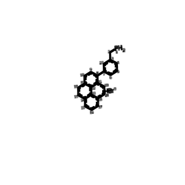 Br.PCc1cccc(-c2ccc3ccc4cccc5ccc2c3c45)c1